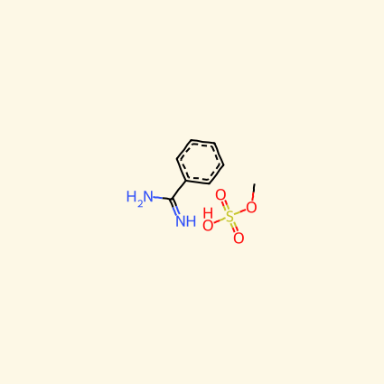 COS(=O)(=O)O.N=C(N)c1ccccc1